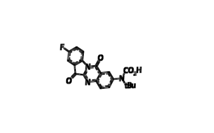 CC(C)(C)N(C(=O)O)c1ccc2nc3n(c(=O)c2c1)-c1ccc(F)cc1C3=O